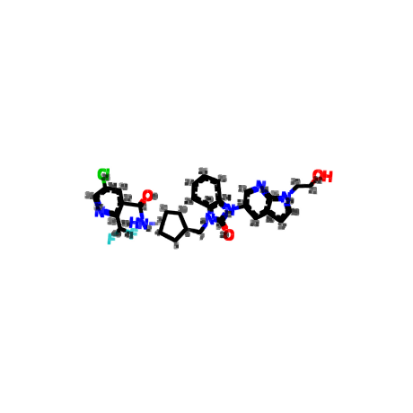 O=C(N[C@H]1CC[C@H](Cn2c(=O)n(-c3cnc4c(ccn4CCO)c3)c3ccccc32)CC1)c1cc(Cl)cnc1C(F)F